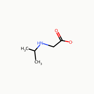 CC(C)NCC([O])=O